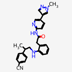 CC(CNc1ccccc1CC(=O)Nc1ccc(-c2cnn(C)c2)cn1)c1ccc(C#N)cc1